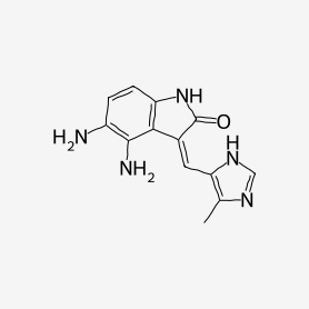 Cc1nc[nH]c1C=C1C(=O)Nc2ccc(N)c(N)c21